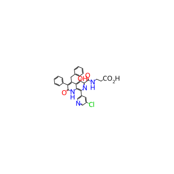 O=C(O)CCNC(=O)c1nc(-c2cncc(Cl)c2)c2[nH]c(=O)c(-c3ccccc3)c(Cc3ccccc3)c2c1O